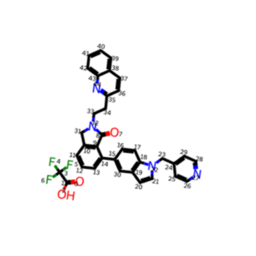 O=C(O)C(F)(F)F.O=C1c2c(cccc2-c2ccc3c(ccn3Cc3ccncc3)c2)CN1CCc1ccc2ccccc2n1